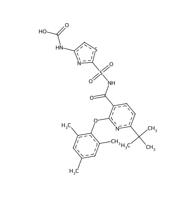 Cc1cc(C)c(Oc2nc(C(C)(C)C)ccc2C(=O)NS(=O)(=O)c2nc(NC(=O)O)cs2)c(C)c1